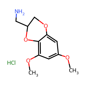 COc1cc(OC)c2c(c1)OCC(CN)O2.Cl